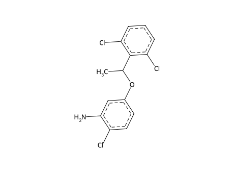 CC(Oc1ccc(Cl)c(N)c1)c1c(Cl)cccc1Cl